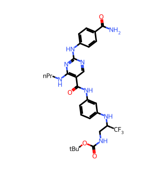 CCCNc1nc(Nc2ccc(C(N)=O)cc2)ncc1C(=O)Nc1cccc(NC(CNC(=O)OC(C)(C)C)C(F)(F)F)c1